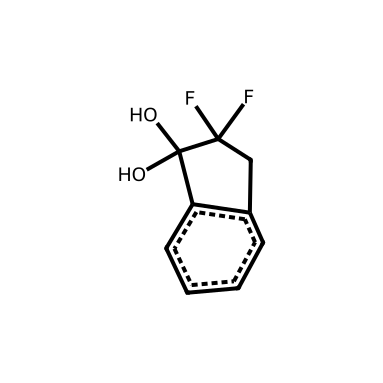 OC1(O)c2ccccc2CC1(F)F